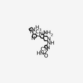 Cc1c(-c2cc3cc(Nc4cc5n(n4)CC(=O)NCC5)ncc3c(N)n2)cncc1-n1cccn1